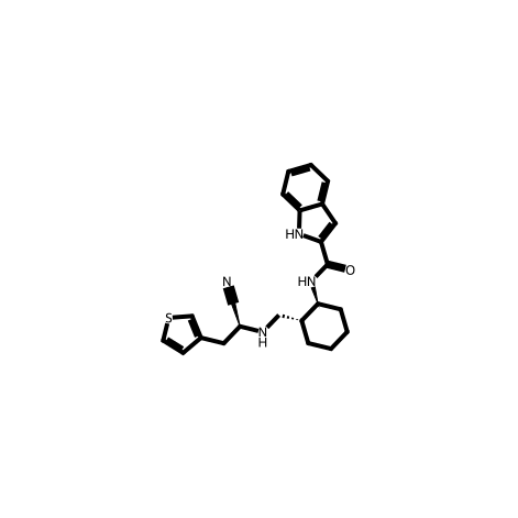 N#C[C@H](Cc1ccsc1)NC[C@H]1CCCC[C@@H]1NC(=O)c1cc2ccccc2[nH]1